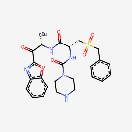 CCCC[C@H](NC(=O)[C@H](CS(=O)(=O)Cc1ccccc1)NC(=O)N1CCNCC1)C(=O)c1nc2ccccc2o1